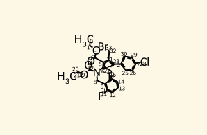 CCOC(=O)c1c(N(Cc2c(F)cccc2F)C(=O)OCC)sc(-c2ccc(Cl)cc2)c1CBr